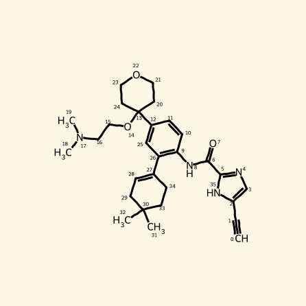 C#Cc1cnc(C(=O)Nc2ccc(C3(OCCN(C)C)CCOCC3)cc2C2=CCC(C)(C)CC2)[nH]1